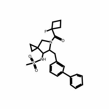 CS(=O)(=O)NC1C(Cc2cccc(-c3ccccc3)c2)N(C(=O)C2(F)CCC2)CC12CC2